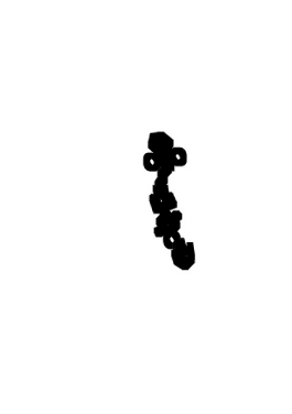 Cc1cc(C2CCN(CCCCN3C(=O)c4ccccc4C3=O)CC2)c(C)cc1OCc1ccccn1